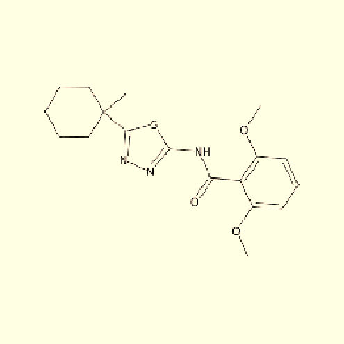 COc1cccc(OC)c1C(=O)Nc1nnc(C2(C)CCCCC2)s1